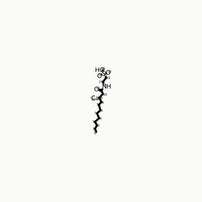 CCCCCCCCCCCC(=O)NCCS(=O)(=O)O.[Ca]